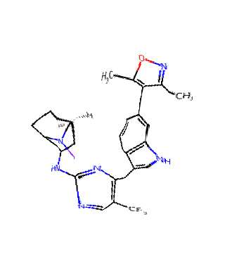 Cc1noc(C)c1-c1ccc2c(-c3nc(NC4C[C@@H]5CCC4N5I)ncc3C(F)(F)F)c[nH]c2c1